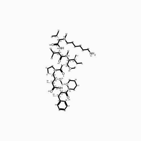 CC[C@H](C)[C@@H]([C@@H](CC(=O)N1CCC[C@H]1[C@H](OC)[C@@H](C)C(=O)N[C@H](C(=O)N1CCCCO1)[C@@H](C)c1ccccc1)OC)N(C)C(=O)[C@@H](NC(=O)[C@H](C(C)C)N(C)CCCCCCN)C(C)C